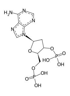 Nc1ncnc2c1ncn2[C@H]1CC(OP(=O)(O)O)[C@@H](COP(=O)(O)O)O1